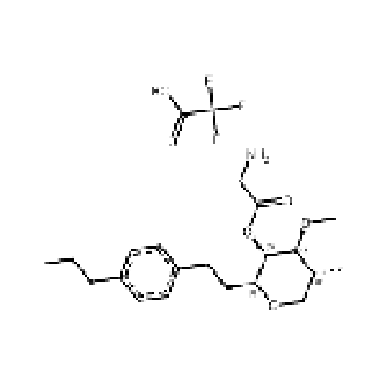 CCCc1ccc(CC[C@@H]2OC[C@@H](C)[C@H](OC)[C@@H]2OC(=O)CN)cc1.O=C(O)C(F)(F)F